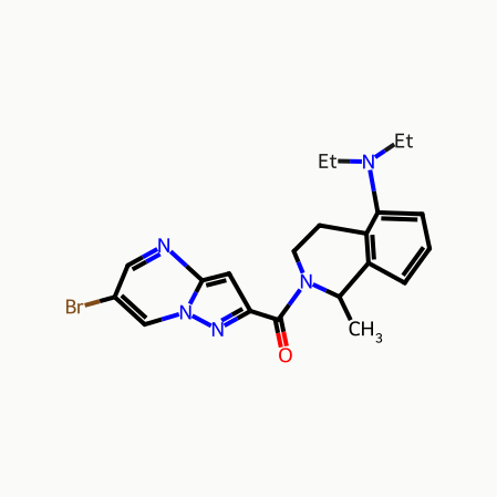 CCN(CC)c1cccc2c1CCN(C(=O)c1cc3ncc(Br)cn3n1)C2C